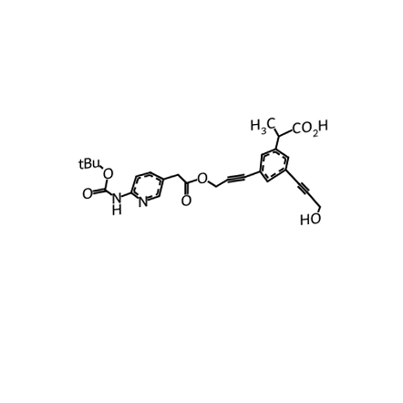 CC(C(=O)O)c1cc(C#CCO)cc(C#CCOC(=O)Cc2ccc(NC(=O)OC(C)(C)C)nc2)c1